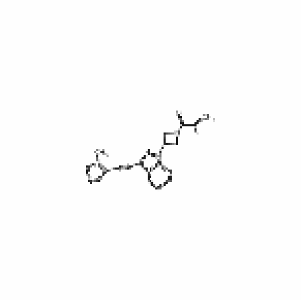 C=C(F)C(=O)N1CC(n2nc(C#Cc3cncn3C)c3cccnc32)C1